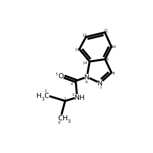 CC(C)NC(=O)n1ncc2c[c]ccc21